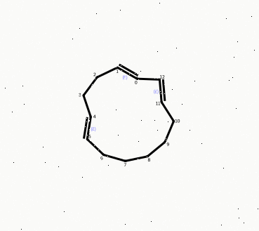 [C]1=C/CC/C=C/CCCCC/C=C/1